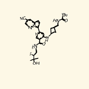 CC(C)(C)C(=O)NCC1CC(Nc2cc(-c3ccc4cc(C#N)cnn34)ncc2C(=O)NCC(F)C(C)(C)O)C1